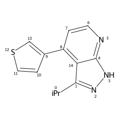 CC(C)c1n[nH]c2nccc(-c3ccsc3)c12